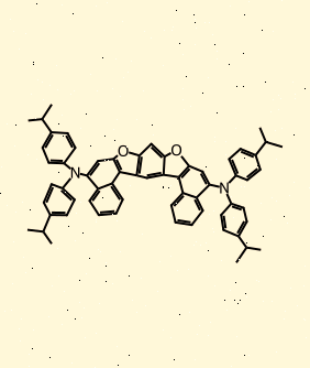 CC(C)c1ccc(N(c2ccc(C(C)C)cc2)c2cc3oc4cc5oc6cc(N(c7ccc(C(C)C)cc7)c7ccc(C(C)C)cc7)c7ccccc7c6c5cc4c3c3ccccc23)cc1